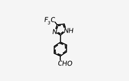 O=Cc1ccc(-c2nc(C(F)(F)F)c[nH]2)cc1